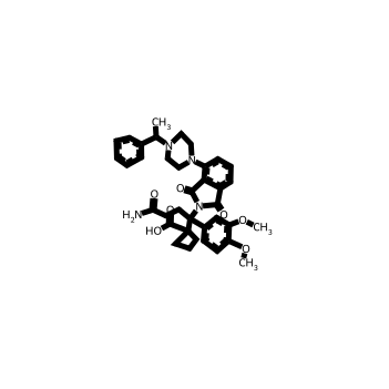 COc1ccc(C(CCC(N)=O)(N2C(=O)c3cccc(N4CCN(C(C)c5ccccc5)CC4)c3C2=O)C2(C(=O)O)CCC2)cc1OC